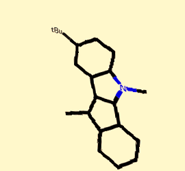 CC1C2CCCCC2C2C1C1CC(C(C)(C)C)CCC1N2C